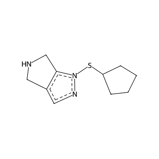 c1nn(SC2CCCC2)c2c1CNC2